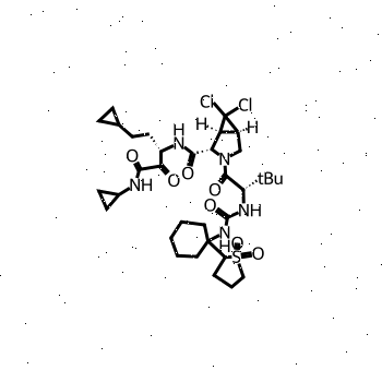 CC(C)(C)[C@H](NC(=O)NC1(C2CCCS2(=O)=O)CCCCC1)C(=O)N1C[C@H]2[C@@H]([C@H]1C(=O)N[C@@H](CCC1CC1)C(=O)C(=O)NC1CC1)C2(Cl)Cl